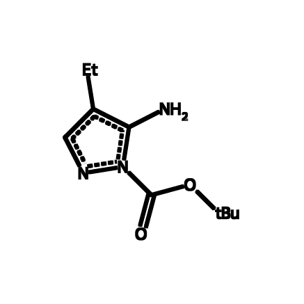 CCc1cnn(C(=O)OC(C)(C)C)c1N